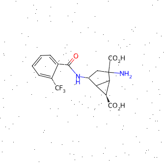 NC1(C(=O)O)CC(NC(=O)c2ccccc2C(F)(F)F)C2C1[C@H]2C(=O)O